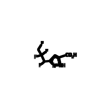 O=C(O)c1cc(C(F)C(F)(F)CF)n[nH]1